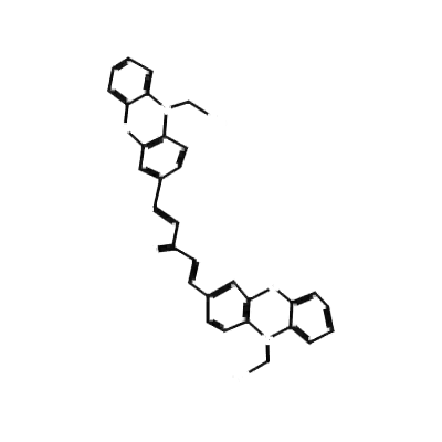 CCN1c2ccccc2Sc2cc(C=CC(=O)C=Cc3ccc4c(c3)Sc3ccccc3N4CC)ccc21